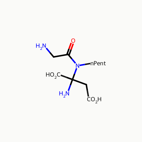 CCCCCN(C(=O)CN)C(N)(CC(=O)O)C(=O)O